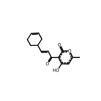 Cc1cc(O)c(C(=O)C=CC2CC=CCC2)c(=O)o1